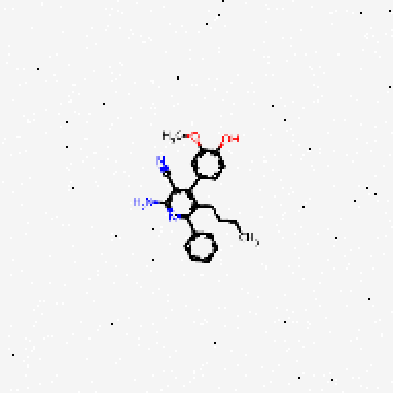 CCCCc1c(-c2ccccc2)nc(N)c(C#N)c1-c1ccc(O)c(OC)c1